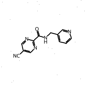 N#Cc1cnc(C(=O)NCc2cccnc2)nc1